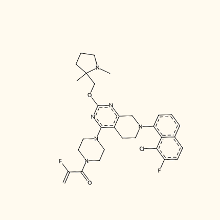 C=C(F)C(=O)N1CCN(c2nc(OCC3(C)CCCN3C)nc3c2CCN(c2cccc4ccc(F)c(Cl)c24)C3)CC1